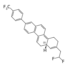 FC(F)CC1=C[C@@H]2CC=c3c(ccc4cc(-c5ccc(C(F)(F)F)cc5)ccc34)=C2CC1